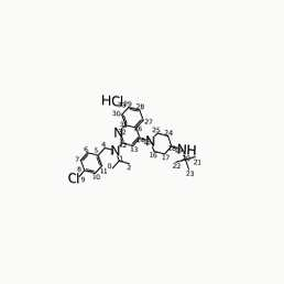 CC(C)N(Cc1ccc(Cl)cc1)c1cc(N2CCC(NC(C)(C)C)CC2)c2ccccc2n1.Cl